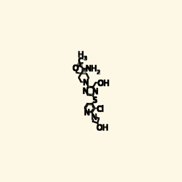 C[C@@H]1OCC2(CCN(c3ncc(Sc4ccnc(N5CC(O)C5)c4Cl)nc3CO)CC2)[C@@H]1N